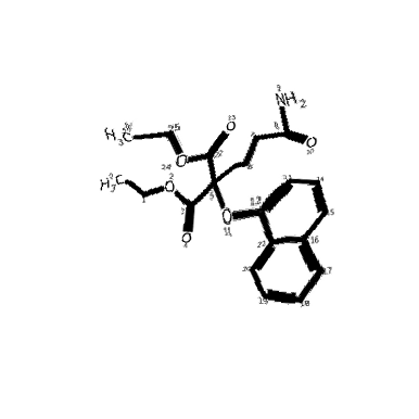 CCOC(=O)C(CCC(N)=O)(Oc1cccc2ccccc12)C(=O)OCC